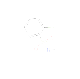 CN(C)S(=O)(=O)c1ccccc1F